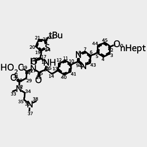 CCCCCCCOc1ccc(-c2cnc(-c3ccc(C[C@H](NC(=O)c4ccc(C(C)(C)C)s4)C(=O)N[C@@H](CC(=O)N(C)CCN(C)C)C(=O)O)cc3)nc2)cc1